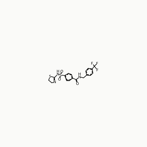 O=C(NCc1ccc(C(F)(F)F)cc1)c1ccc(S(=O)(=O)NC2=NCCS2)cc1